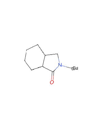 CC(C)(C)N1CC2CCCCC2C1=O